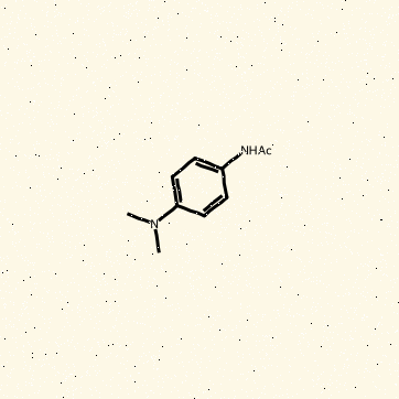 [CH2]C(=O)Nc1ccc(N(C)C)cc1